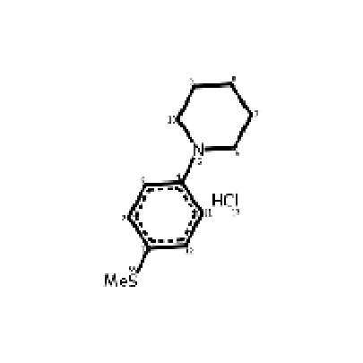 CSc1ccc(N2CCCCC2)cc1.Cl